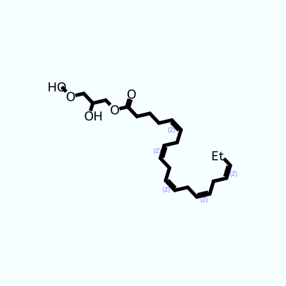 CC/C=C\C/C=C\C/C=C\C/C=C\C/C=C\CCCC(=O)OCC(O)COO